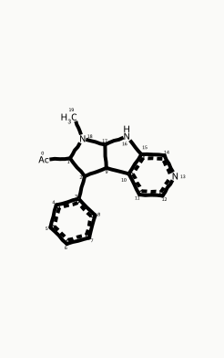 CC(=O)C1C(c2ccccc2)C2c3ccncc3NC2N1C